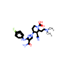 CN(C)CCC1C(C#N)C(n2cc(C(N)=O)c(Nc3ccc(F)cc3)n2)CCN1C(=O)O